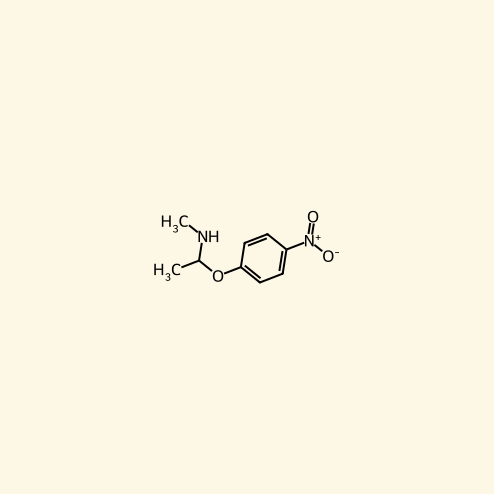 CNC(C)Oc1ccc([N+](=O)[O-])cc1